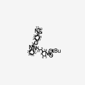 CC(C)(C)OC(=O)N1CCCC(CCCn2c(COc3ccc(C4=NCCS4)cc3)nc3ccccc32)C1